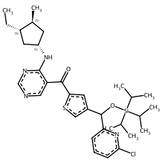 CC[C@H]1C[C@@H](Nc2ncncc2C(=O)c2cc(C(O[Si](C(C)C)(C(C)C)C(C)C)c3cccc(Cl)n3)cs2)C[C@@H]1C